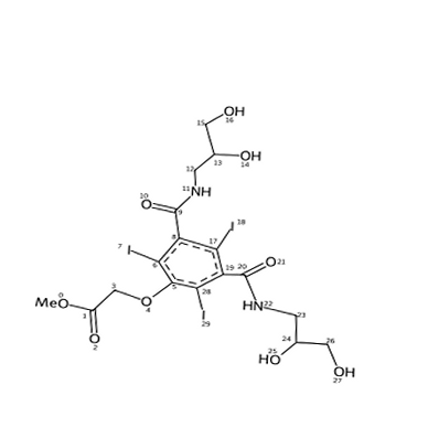 COC(=O)COc1c(I)c(C(=O)NCC(O)CO)c(I)c(C(=O)NCC(O)CO)c1I